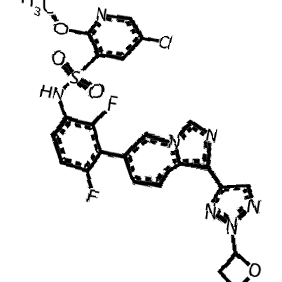 COc1ncc(Cl)cc1S(=O)(=O)Nc1ccc(F)c(-c2ccc3c(-c4cnn(C5CCO5)n4)ncn3c2)c1F